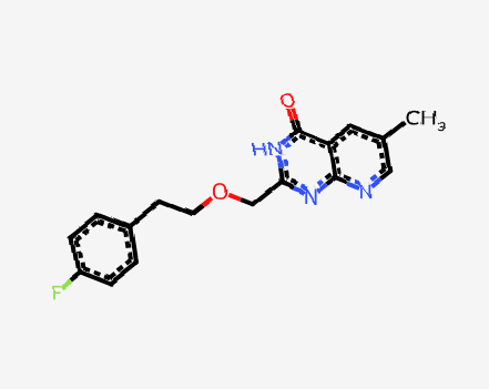 Cc1cnc2nc(COCCc3ccc(F)cc3)[nH]c(=O)c2c1